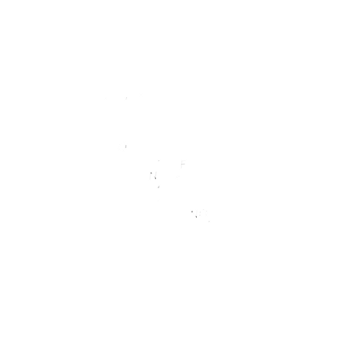 O=[N+]([O-])c1ccc(N2CCC(Oc3cccc(F)c3)CC2)c(F)c1